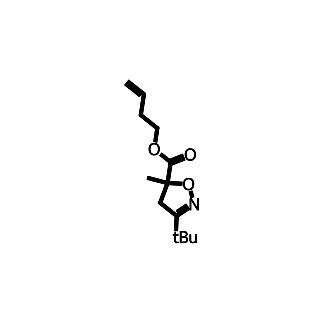 C=CCCOC(=O)C1(C)CC(C(C)(C)C)=NO1